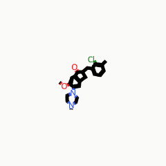 COc1cc2c(cc1N1CCN(C)CC1)CC(Cc1cccc(C)c1Cl)C2=O